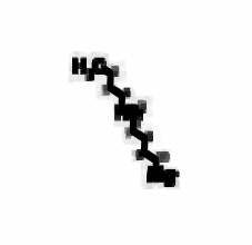 Br.CCCCCCCCC[CH2][Mg]